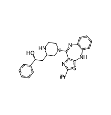 CC(C)c1nc2c(s1)Nc1ccccc1N=C2N1CCNC(C[C@H](O)c2ccccc2)C1